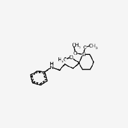 COC1(CCCNc2ccccc2)CCCC[Si]1(OC)OC